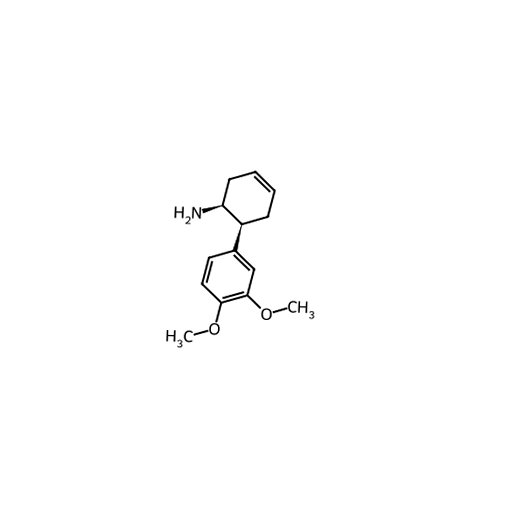 COc1ccc([C@@H]2CC=CC[C@@H]2N)cc1OC